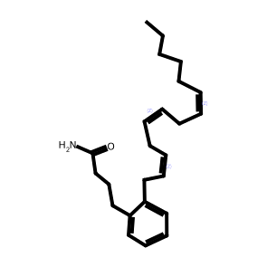 CCCCC/C=C\C/C=C\C/C=C\Cc1ccccc1CCCC(N)=O